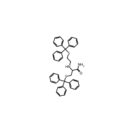 NC(=O)C(CSC(c1ccccc1)(c1ccccc1)c1ccccc1)NCCSC(c1ccccc1)(c1ccccc1)c1ccccc1